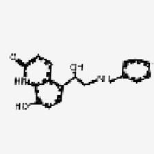 O=c1ccc2c([C@@H](O)CNCc3cc[c]cc3)ccc(O)c2[nH]1